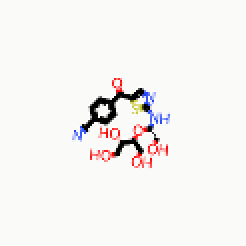 N#Cc1ccc(C(=O)c2cnc(N[C@H](CO)OC(CO)[C@@H](O)CO)s2)cc1